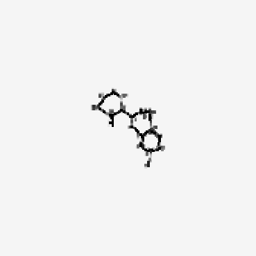 [NH]C(Cc1cc(F)ccc1F)C1CCCCN1